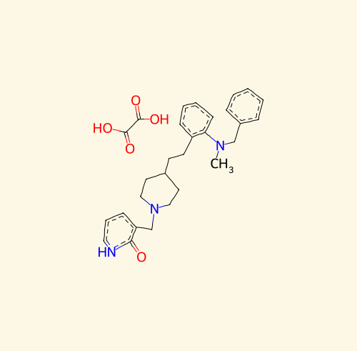 CN(Cc1ccccc1)c1ccccc1CCC1CCN(Cc2ccc[nH]c2=O)CC1.O=C(O)C(=O)O